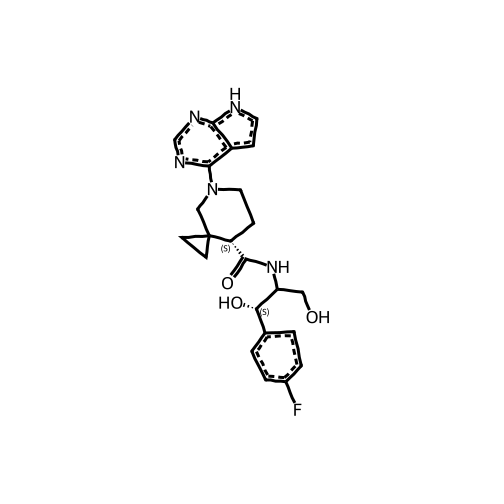 O=C(NC(CO)[C@@H](O)c1ccc(F)cc1)[C@H]1CCN(c2ncnc3[nH]ccc23)CC12CC2